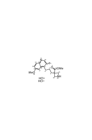 COC(=O)C1(CCCc2c(F)cnc3ccc(OC)cc23)CNC1.Cl.Cl